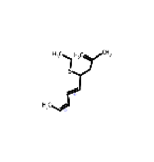 C=C(C)CC(/C=C/C=C\C)SCC